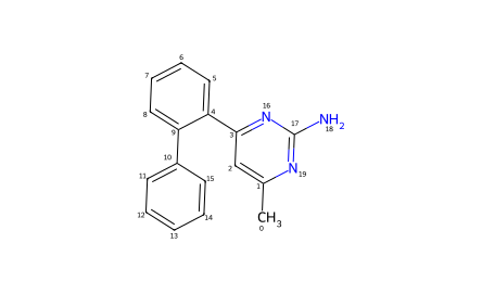 Cc1cc(-c2ccccc2-c2ccccc2)nc(N)n1